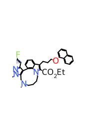 CCOC(=O)c1c(CCCOc2cccc3ccccc23)c2cccc3c2n1CCCCN(C)Cc1c-3c(/C=C/F)nn1C